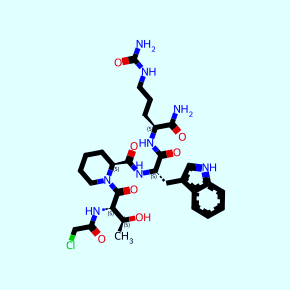 C[C@H](O)[C@H](NC(=O)CCl)C(=O)N1CCCC[C@H]1C(=O)N[C@@H](Cc1c[nH]c2ccccc12)C(=O)N[C@@H](CCCNC(N)=O)C(N)=O